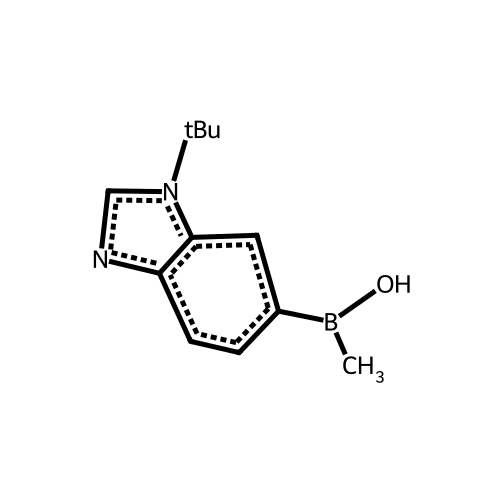 CB(O)c1ccc2ncn(C(C)(C)C)c2c1